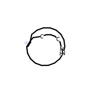 C1=C2/CCCCCCCCN(CCCCCCC/1)NCCCCCCC2